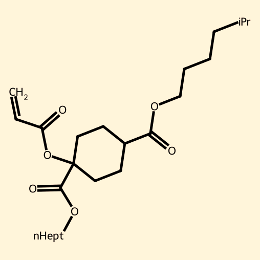 C=CC(=O)OC1(C(=O)OCCCCCCC)CCC(C(=O)OCCCCC(C)C)CC1